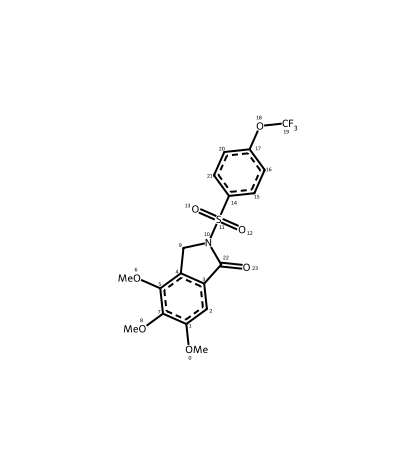 COc1cc2c(c(OC)c1OC)CN(S(=O)(=O)c1ccc(OC(F)(F)F)cc1)C2=O